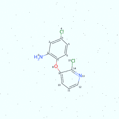 Nc1cc(Cl)ccc1Oc1cccnc1Cl